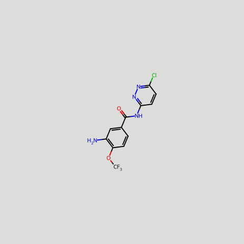 Nc1cc(C(=O)Nc2ccc(Cl)nn2)ccc1OC(F)(F)F